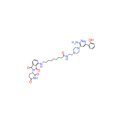 Nc1nnc(-c2ccccc2O)cc1N1CCN(CCNC(=O)CCCCCCCCNc2cccc3c2C(=O)N(C2CCC(=O)NC2=O)C3=O)CC1